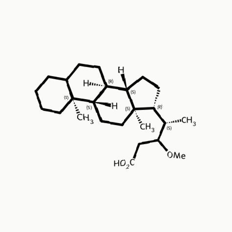 COC(CC(=O)O)[C@@H](C)[C@H]1CC[C@H]2[C@@H]3CCC4CCCC[C@]4(C)[C@H]3CC[C@]12C